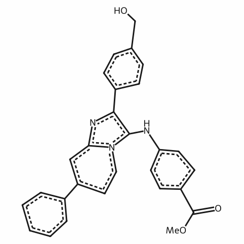 COC(=O)c1ccc(Nc2c(-c3ccc(CO)cc3)nc3cc(-c4ccccc4)ccn23)cc1